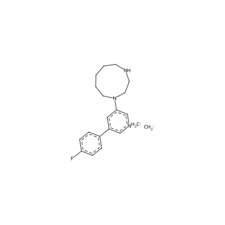 Fc1ccc(-c2cncc(N3CCCCCNCC3)c2)cc1.[CH2].[CH2]